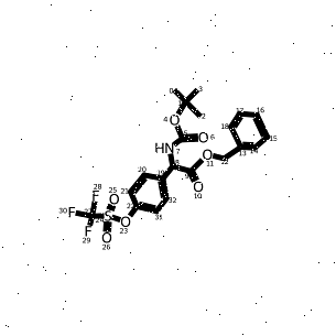 CC(C)(C)OC(=O)NC(C(=O)OCc1ccccc1)c1ccc(OS(=O)(=O)C(F)(F)F)cc1